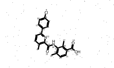 Cc1ccc(-c2ccc(Cl)cc2)nc1C(=O)Nc1c(C)ccc(C(=O)O)c1C